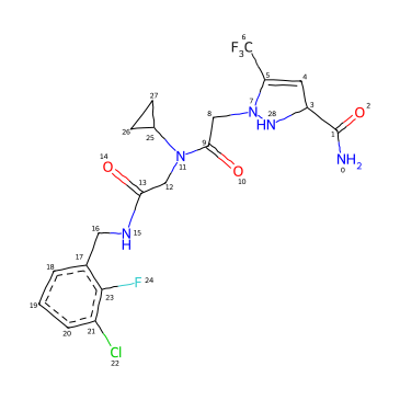 NC(=O)C1C=C(C(F)(F)F)N(CC(=O)N(CC(=O)NCc2cccc(Cl)c2F)C2CC2)N1